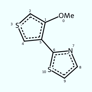 COc1[c]scc1-c1nccs1